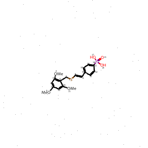 COc1cc(OC)c(CSC=Cc2ccc(P(=O)(O)O)cc2)c(OC)c1